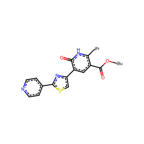 CCC(C)OC(=O)c1cc(-c2csc(-c3ccncc3)n2)c(=O)[nH]c1C(C)C